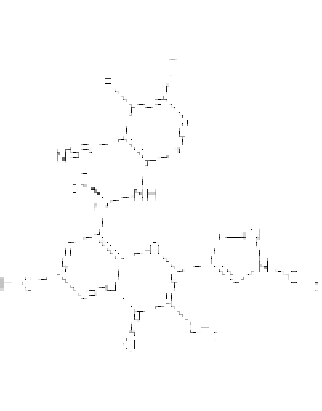 Cc1cc([C@@H](C)Nc2ccc(F)c(F)c2C#N)c2oc(-c3cnn(C)c3)c(C)c(=O)c2c1